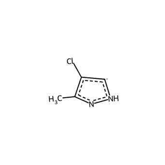 Cc1n[nH][c]c1Cl